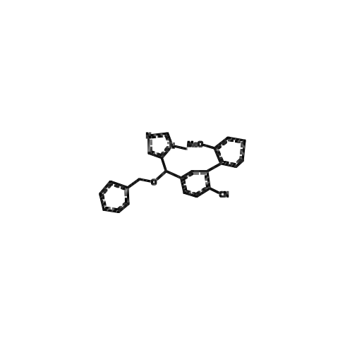 COc1ccccc1-c1cc(C(OCc2ccccc2)c2cncn2C)ccc1C#N